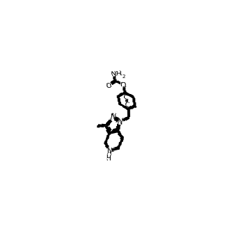 Cc1nn(CC23CCC(OC(N)=O)(CC2)CC3)c2c1CNCC2